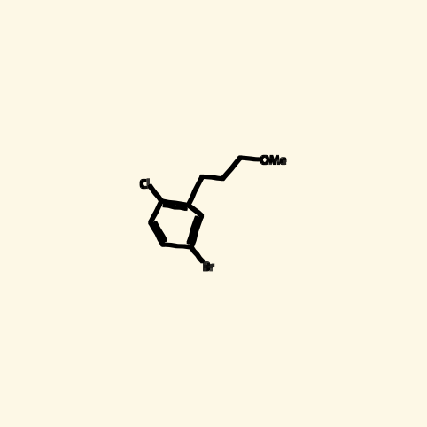 COCCCc1cc(Br)ccc1Cl